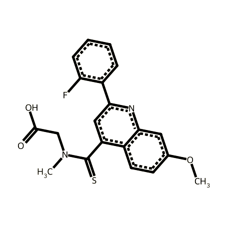 COc1ccc2c(C(=S)N(C)CC(=O)O)cc(-c3ccccc3F)nc2c1